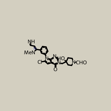 CN/C(=C\C=N)c1cccc(-n2c(Cl)cc3c(=O)n(CC4(O)CCN(C=O)CC4)cnc32)c1